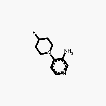 Nc1cnccc1N1CCC(F)CC1